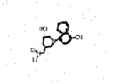 CCN(CC)CC1CCCN(c2ccc(C#N)c3ccccc23)C1.Cl